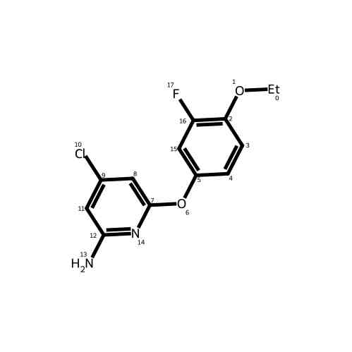 CCOc1ccc(Oc2cc(Cl)cc(N)n2)cc1F